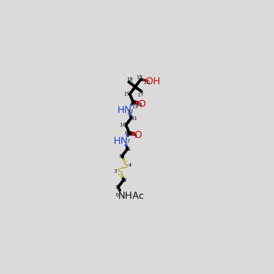 CC(=O)NCCSSCCNC(=O)CCNC(=O)CC(C)(C)CO